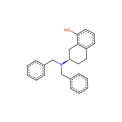 Oc1cccc2c1C[C@H](N(Cc1ccccc1)Cc1ccccc1)CC2